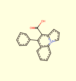 O=C(O)c1c(-c2ccccc2)c2ccccc2n2cccc12